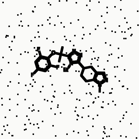 CCn1c(C2CCc3c(cnn3C)C2)nnc1C(C)(C)Oc1c(F)cc(F)cc1F